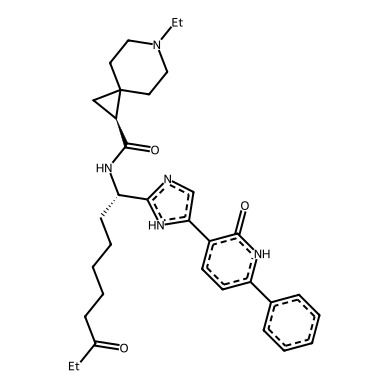 CCC(=O)CCCCC[C@H](NC(=O)[C@H]1CC12CCN(CC)CC2)c1ncc(-c2ccc(-c3ccccc3)[nH]c2=O)[nH]1